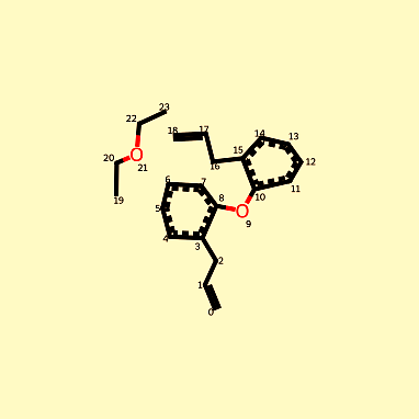 C=CCc1ccccc1Oc1ccccc1CC=C.CCOCC